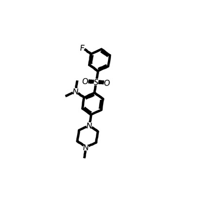 CN1CCN(c2ccc(S(=O)(=O)c3cccc(F)c3)c(N(C)C)c2)CC1